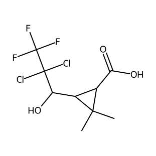 CC1(C)C(C(=O)O)C1C(O)C(Cl)(Cl)C(F)(F)F